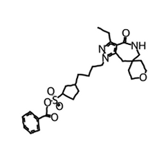 CCc1nn(CCCCC2CCC(S(=O)(=O)OC(=O)c3ccccc3)C2)c2c1C(=O)NCC1(CCOCC1)C2